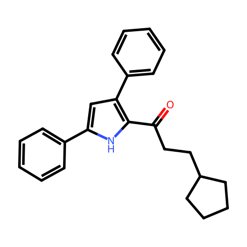 O=C(CCC1CCCC1)c1[nH]c(-c2ccccc2)cc1-c1ccccc1